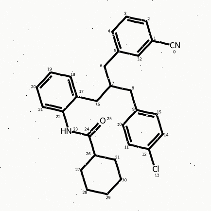 N#Cc1cccc(CC(Cc2ccc(Cl)cc2)Cc2ccccc2NC(=O)C2CCCCC2)c1